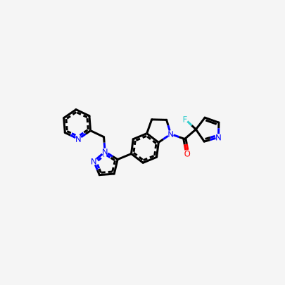 O=C(N1CCc2cc(-c3ccnn3Cc3ccccn3)ccc21)C1(F)C=CN=C1